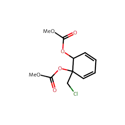 COC(=O)OC1C=CC=CC1(CCl)OC(=O)OC